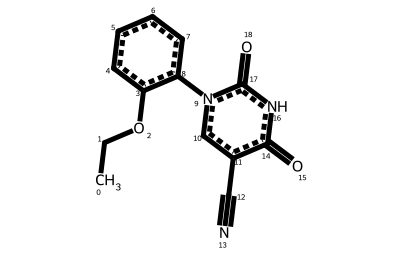 CCOc1ccccc1-n1cc(C#N)c(=O)[nH]c1=O